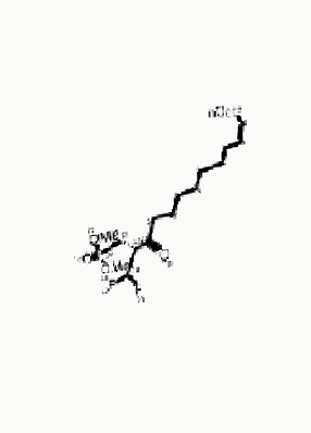 CCCCCCCC/C=C\CCCCCCCC(=O)[C@@H](CP(=O)(OC)OC)C(F)F